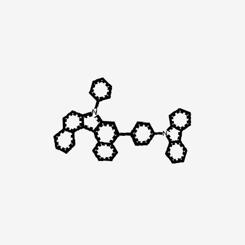 c1ccc(-n2c3ccc4ccccc4c3c3c4ccccc4c(-c4ccc(-n5c6ccccc6c6ccccc65)cc4)cc32)cc1